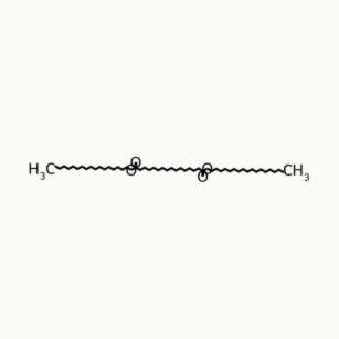 CCCCCCCCCCCCCCCCCCOC(=O)CCCCCCCCCCCCCCC(=O)OCCCCCCCCCCCCCCCCCC